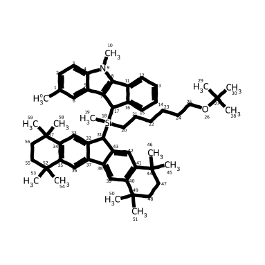 Cc1ccc2c(c1)c1c(n2C)-c2ccccc2C1[Si](C)(CCCCCCOC(C)(C)C)C1c2cc3c(cc2-c2cc4c(cc21)C(C)(C)CCC4(C)C)C(C)(C)CCC3(C)C